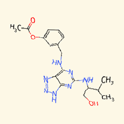 CC(=O)Oc1cccc(CNc2nc(NC(CO)C(C)C)nc3[nH]nnc23)c1